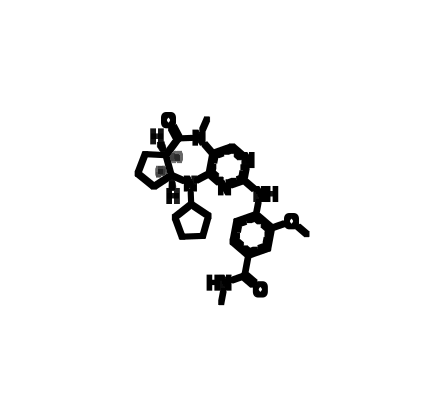 CNC(=O)c1ccc(Nc2ncc3c(n2)N(C2CCCC2)[C@@H]2CCC[C@@H]2C(=O)N3C)c(OC)c1